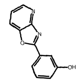 Oc1cccc(-c2nc3ncccc3o2)c1